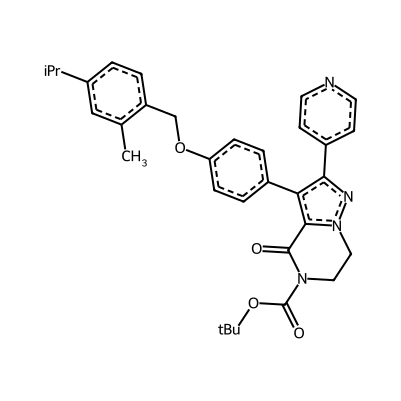 Cc1cc(C(C)C)ccc1COc1ccc(-c2c(-c3ccncc3)nn3c2C(=O)N(C(=O)OC(C)(C)C)CC3)cc1